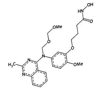 COCOCN(c1ccc(OC)c(OCCCC(=O)NO)c1)c1nc(C)nc2ccccc12